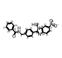 O=C(NCc1ccc(-c2nc3ccc([N+](=O)[O-])cc3n2O)cc1)c1ccccc1